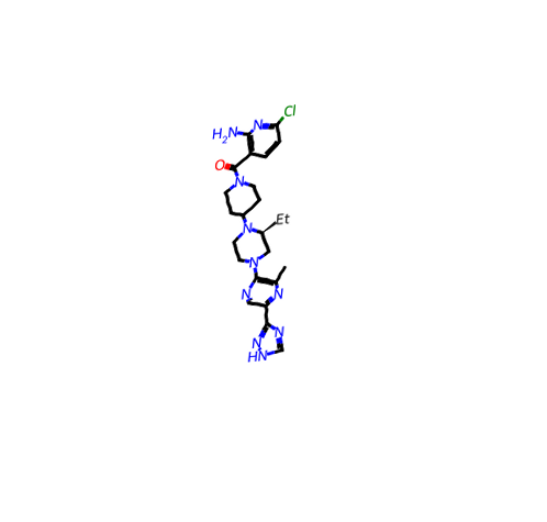 CC[C@H]1CN(c2ncc(-c3nc[nH]n3)nc2C)CCN1C1CCN(C(=O)c2ccc(Cl)nc2N)CC1